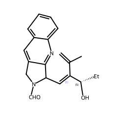 C=C(C)/C(=C\C1c2nc3ccccc3cc2CN1C=O)[C@@H](O)CC